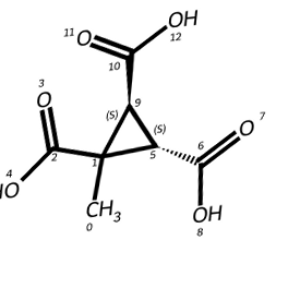 CC1(C(=O)O)[C@@H](C(=O)O)[C@@H]1C(=O)O